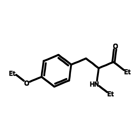 CCNC(Cc1ccc(OCC)cc1)C(=O)CC